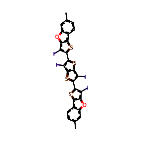 Cc1ccc2c(c1)oc1c(I)c(-c3sc4c(I)c(-c5sc6c(oc7cc(C)ccc76)c5I)sc4c3I)sc12